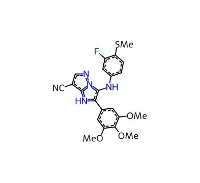 COc1cc(-c2[nH]c3c(C#N)cnn3c2Nc2ccc(SC)c(F)c2)cc(OC)c1OC